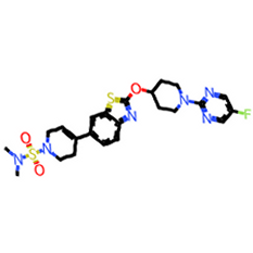 CN(C)S(=O)(=O)N1CC=C(c2ccc3nc(OC4CCN(c5ncc(F)cn5)CC4)sc3c2)CC1